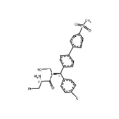 CC(C)C[C@H](N)C(=O)N(CC#N)[C@H](c1ccc(Cl)cc1)c1ccc(-c2ccc(S(C)(=O)=O)cc2)cc1